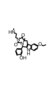 CCOc1ccc2[nH]c3c(c2c1)CC1(C)C(=O)N(CCNC)C(=O)N1C3c1cccc(O)c1